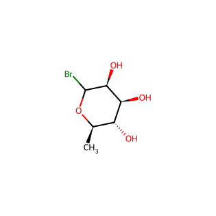 C[C@H]1OC(Br)[C@@H](O)[C@@H](O)[C@@H]1O